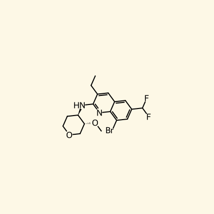 CCc1cc2cc(C(F)F)cc(Br)c2nc1N[C@@H]1CCOC[C@H]1OC